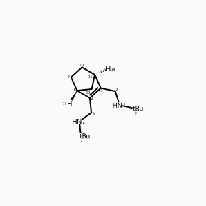 CC(C)(C)NCC1=C(CNC(C)(C)C)[C@@H]2CC[C@@H]1C2